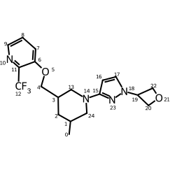 CC1CC(COc2cccnc2C(F)(F)F)CN(c2ccn(C3COC3)n2)C1